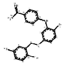 CCc1c[c]c(OCc2cc(F)ccc2F)cc1Nc1ccc(C(=N)N)cc1